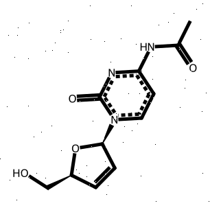 CC(=O)Nc1ccn([C@H]2C=C[C@@H](CO)O2)c(=O)n1